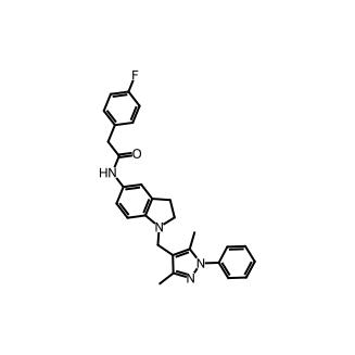 Cc1nn(-c2ccccc2)c(C)c1CN1CCc2cc(NC(=O)Cc3ccc(F)cc3)ccc21